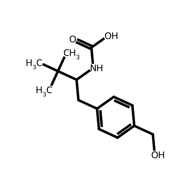 CC(C)(C)C(Cc1ccc(CO)cc1)NC(=O)O